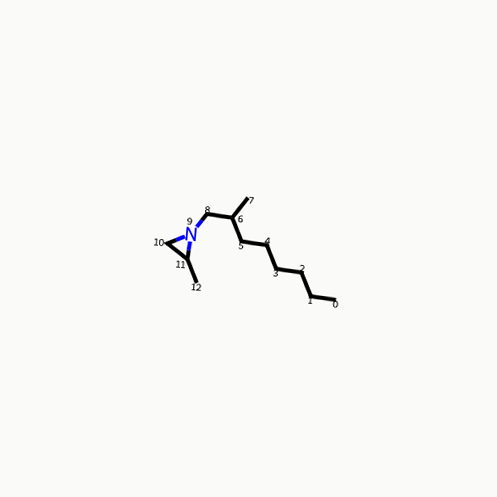 CCCCCCC(C)CN1CC1C